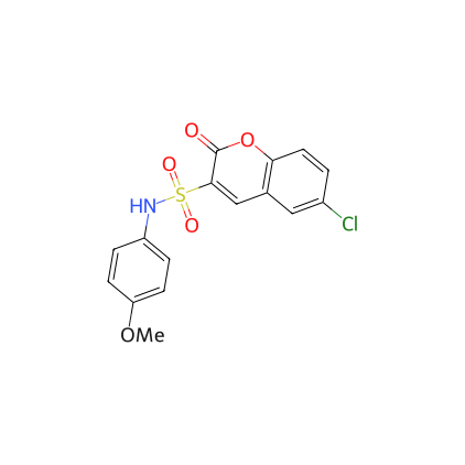 COc1ccc(NS(=O)(=O)c2cc3cc(Cl)ccc3oc2=O)cc1